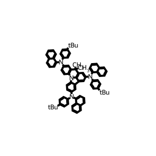 CC(C)(C)c1ccc(N(c2ccc3c(c2)C(C)(C)c2cc(N(c4ccc(C(C)(C)C)cc4)c4cccc5ccccc45)cc4c5cc(N(c6ccc(C(C)(C)C)cc6)c6cccc7ccccc67)ccc5n-3c24)c2cccc3ccccc23)cc1